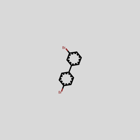 Brc1ccc(-c2[c]ccc(Br)c2)cc1